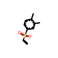 C=CS(=O)(=O)c1ccc(C)c(C)c1